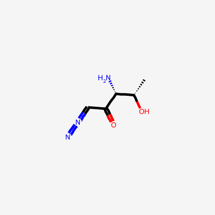 C[C@H](O)[C@@H](N)C(=O)C=[N+]=[N-]